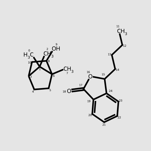 CC1(C)C2CCC1(C)C(O)C2.CCCCC1OC(=O)c2ccccc21